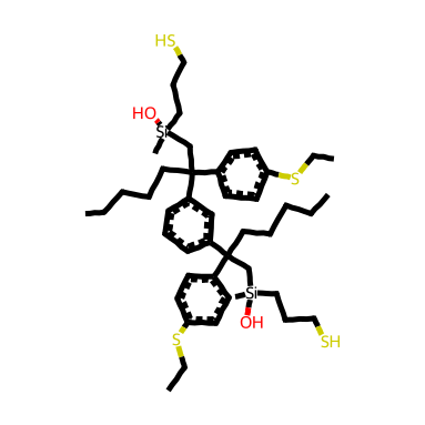 CCCCCC(C[Si](C)(O)CCCS)(c1ccc(SCC)cc1)c1cccc(C(CCCCC)(C[Si](C)(O)CCCS)c2ccc(SCC)cc2)c1